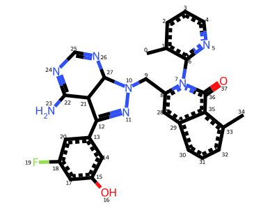 Cc1cccnc1-n1c(CN2N=C(c3cc(O)cc(F)c3)C3C(N)=NC=NC32)cc2cccc(C)c2c1=O